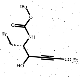 CCOC(=O)C#CC(O)[C@H](CC(C)C)NC(=O)OC(C)(C)C